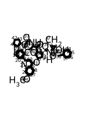 C=C[C@@H]1C[C@]1(NC(=O)[C@@H]1C[C@@H](Oc2cc(-c3ccccc3)nc3cc(OC)ccc23)CN1C(=O)[C@@H](NC(=O)OC1CCCC1)C(C)(C)C)P(=O)(O)Cc1ccccc1